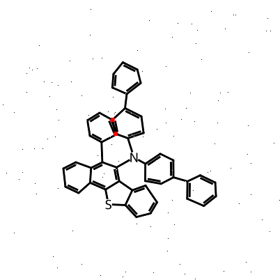 c1ccc(-c2ccc(N(c3ccc(-c4ccccc4)cc3)c3c(-c4ccccc4)c4ccccc4c4sc5ccccc5c34)cc2)cc1